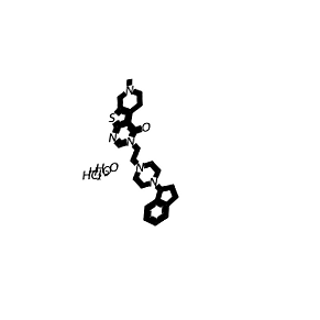 CN1CCc2c(sc3ncn(CCN4CCN(C5CCc6ccccc65)CC4)c(=O)c23)C1.Cl.O.O